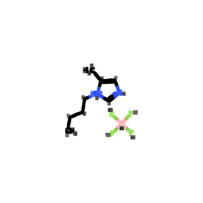 CCCC[NH+]1C=NC=C1C.F[B-](F)(F)F